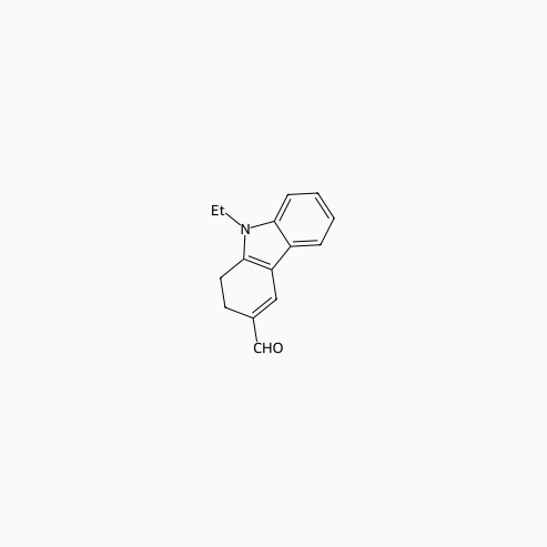 CCn1c2c(c3ccccc31)C=C(C=O)CC2